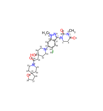 CN1C(=O)CCN(c2nn(C)c3cc(N4CCC(O)(CC(=O)N5CCC6(CCCO6)CC5)CC4)c(F)cc23)C1=O